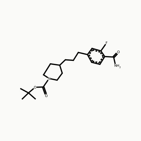 CC(C)(C)OC(=O)N1CCC(CCCc2ccc(C(N)=O)c(F)c2)CC1